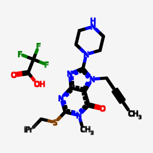 CC#CCn1c(N2CCNCC2)nc2nc(SCC(C)C)n(C)c(=O)c21.O=C(O)C(F)(F)F